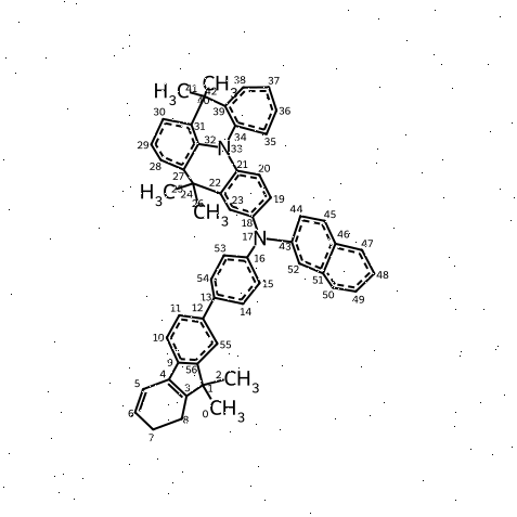 CC1(C)C2=C(C=CCC2)c2ccc(-c3ccc(N(c4ccc5c(c4)C(C)(C)c4cccc6c4N5c4ccccc4C6(C)C)c4ccc5ccccc5c4)cc3)cc21